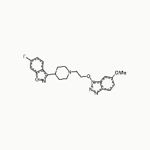 COc1ccc2nnn(OCCN3CCC(c4noc5cc(F)ccc45)CC3)c2c1